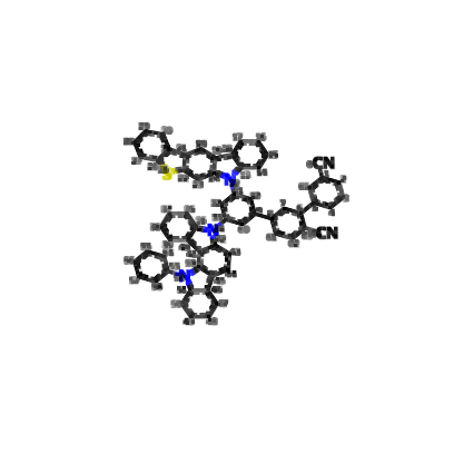 N#Cc1cccc(-c2cc(-c3cc(-n4c5ccccc5c5cc6c(cc54)sc4ccccc46)cc(-n4c5ccccc5c5c4ccc4c6ccccc6n(-c6ccccc6)c45)c3)ccc2C#N)c1